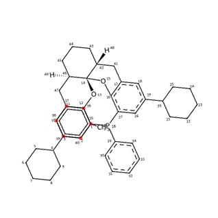 Cc1cc(C2CCCCC2)cc2c1O[C@]13Oc4c(cc(C5CCCCC5)cc4P(c4ccccc4)c4ccccc4)C[C@H]1CCC[C@@H]3C2